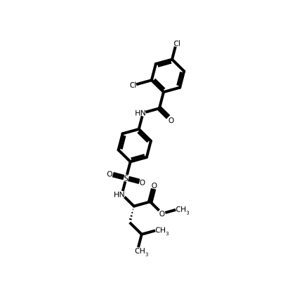 COC(=O)[C@H](CC(C)C)NS(=O)(=O)c1ccc(NC(=O)c2ccc(Cl)cc2Cl)cc1